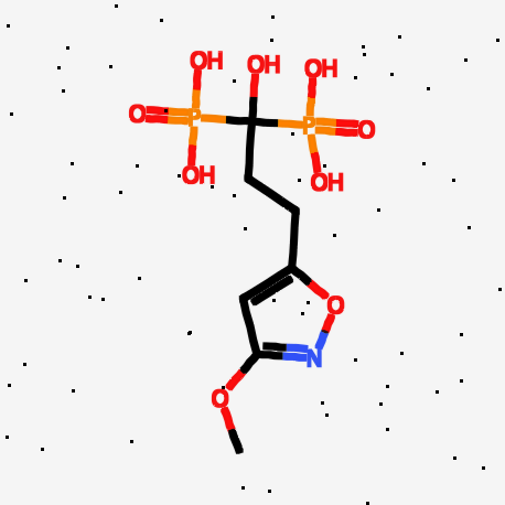 COc1cc(CCC(O)(P(=O)(O)O)P(=O)(O)O)on1